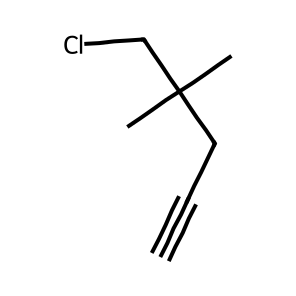 C#CCC(C)(C)CCl